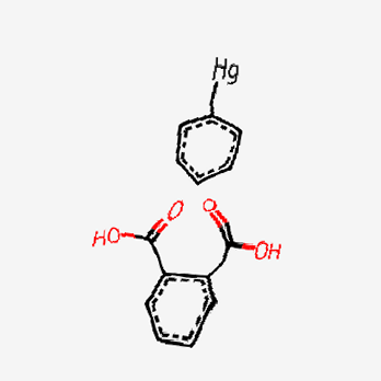 O=C(O)c1ccccc1C(=O)O.[Hg][c]1ccccc1